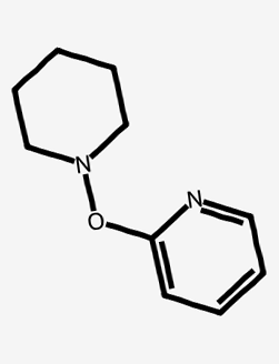 c1ccc(ON2CCCCC2)nc1